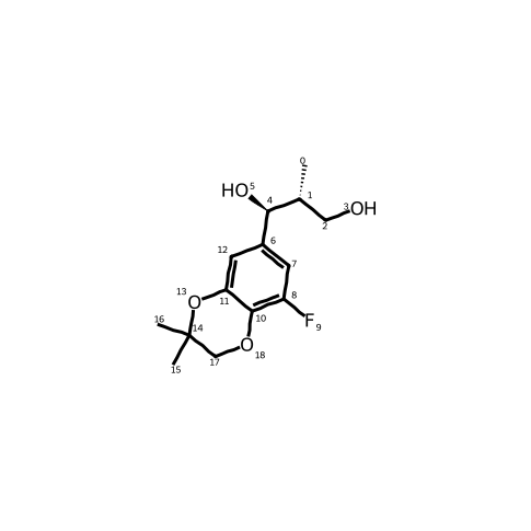 C[C@H](CO)[C@H](O)c1cc(F)c2c(c1)OC(C)(C)CO2